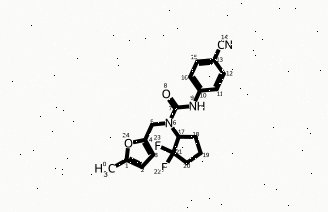 Cc1ccc(CN(C(=O)Nc2ccc(C#N)cc2)C2CCCC2(F)F)o1